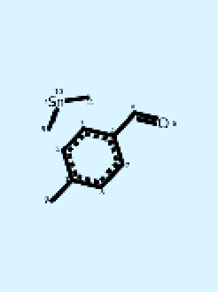 [CH2]c1ccc(C=O)cc1.[CH3][Sn][CH3]